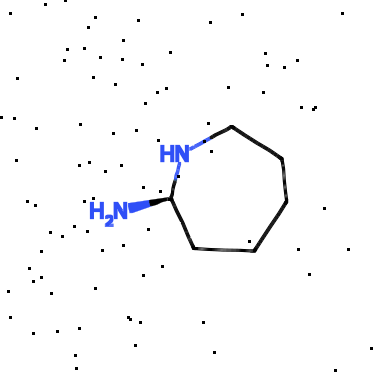 N[C@@H]1CCCCCN1